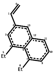 C=Cc1cc(CC)c2c(CC)cccc2c1